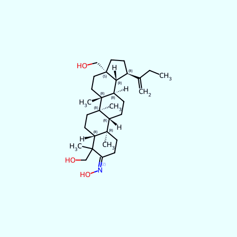 C=C(CC)[C@@H]1CC[C@]2(CO)CC[C@]3(C)[C@H](CC[C@@H]4[C@@]5(C)CC/C(=N/O)C(C)(CO)[C@@H]5CC[C@]43C)[C@@H]12